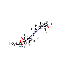 CC1=C(/C=C/C(C)=C/C=C/C(C)=C/C=C/C=C(C)/C=C/C=C(C)/C=C/C2=C(C)C(=O)C(OC(=O)/C=C(/CC(=O)O)C(=O)O)CC2(C)C)C(C)(C)CC(C)C1=O